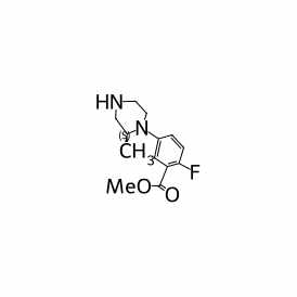 COC(=O)c1cc(N2CCNC[C@@H]2C)ccc1F